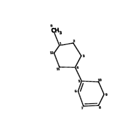 CC1CCC(C2=CC=CCC2)CC1